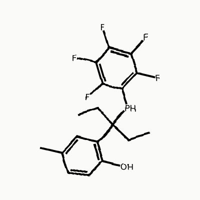 CCC(CC)(Pc1c(F)c(F)c(F)c(F)c1F)c1cc(C)ccc1O